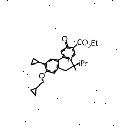 CCOC(=O)c1cn2c(cc1=O)-c1cc(C3CC3)c(OCC3CC3)cc1CC2(C)C(C)C